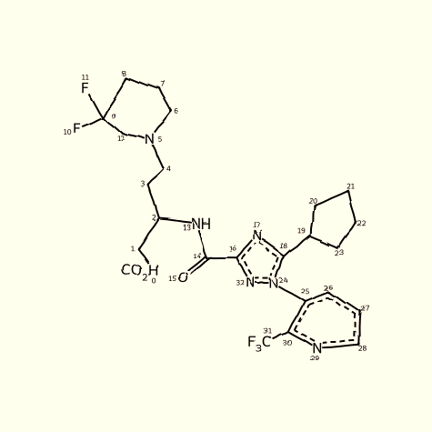 O=C(O)CC(CCN1CCCC(F)(F)C1)NC(=O)c1nc(C2CCCC2)n(-c2cccnc2C(F)(F)F)n1